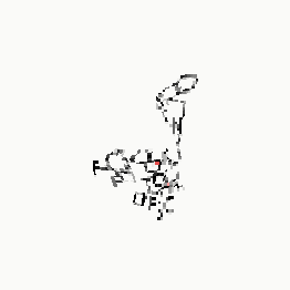 CN(C[C@](CCCN1CCC2(CC1)SCc1ccccc12)(c1ccc(Cl)c(Cl)c1)N(C)C(=O)Oc1ccc(F)c(F)c1)C(=O)CC(F)(F)F